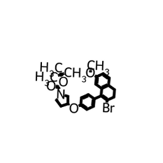 COc1ccc2c(c1)C(c1ccc(O[C@H]3CCN(C(=O)OC(C)(C)C)C3)cc1)=C(Br)CC2